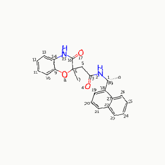 C[C@@H](NC(=O)CC1(C)Oc2ccccc2NC1=O)c1cccc2ccccc12